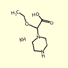 CCOC(C(=O)O)N1CCNCC1.[KH]